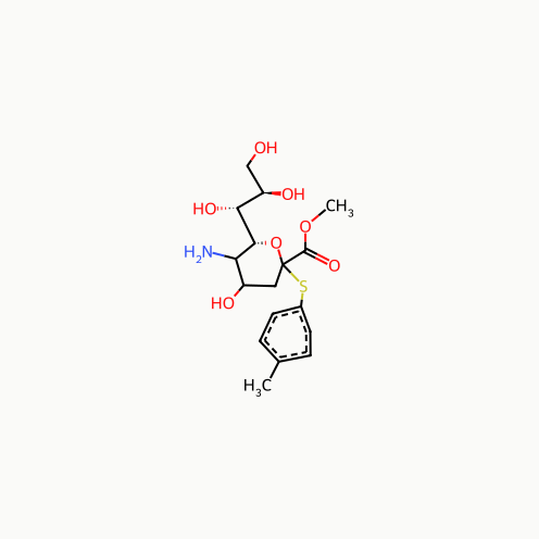 COC(=O)C1(Sc2ccc(C)cc2)CC(O)C(N)[C@H]([C@H](O)[C@H](O)CO)O1